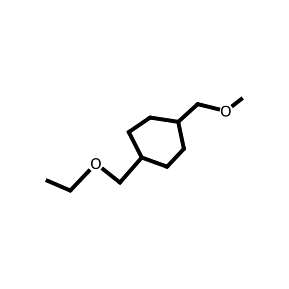 CCOCC1CCC(COC)CC1